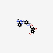 COc1ccc2c(c1)C(CC(=O)NC[C@H]1CC[C@@H](Nc3nc(N(C)C)c4ccccc4n3)CC1)CC2=O